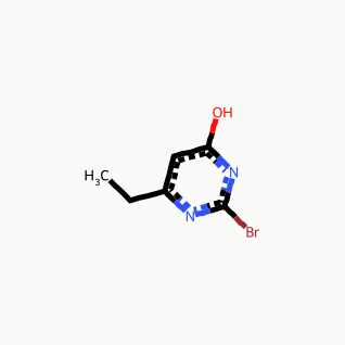 CCc1cc(O)nc(Br)n1